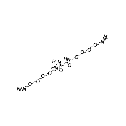 [N-]=[N+]=NCCOCCOCCOCCOCCNC(=O)CC[C@H](N)C(=O)NCCOCCOCCOCCOCCN=[N+]=[N-]